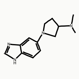 CN(C)C1CCN(c2ccc3[nH][c]nc3c2)C1